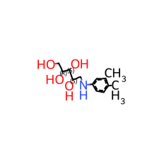 Cc1ccc(NC[C@H](O)[C@H](O)[C@H](O)CO)cc1C